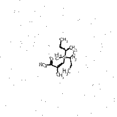 CCC(C)[Si](C)(C=C(C)C(=O)O)C(C)CC